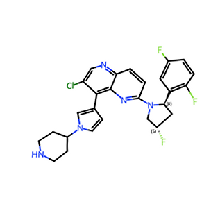 Fc1ccc(F)c([C@H]2C[C@H](F)CN2c2ccc3ncc(Cl)c(-c4ccn(C5CCNCC5)c4)c3n2)c1